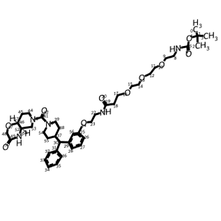 CC(C)(C)OC(=O)NCCOCCOCCOCCC(=O)NCCOc1cccc(C(c2ccccc2)C2CCN(C(=O)N3CC[C@@H]4OCC(=O)N[C@@H]4C3)CC2)c1